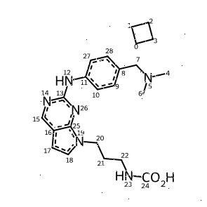 C1CCC1.CN(C)Cc1ccc(Nc2ncc3ccn(CCCNC(=O)O)c3n2)cc1